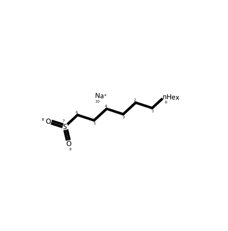 CCCCCCCCCCCC[S-](=O)=O.[Na+]